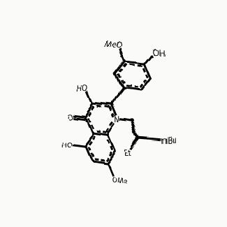 CCCCC(CC)Cn1c(-c2ccc(O)c(OC)c2)c(O)c(=O)c2c(O)cc(OC)cc21